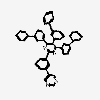 c1ccc(-c2cccc(-c3nc(-c4cccc(-c5cncnc5)c4)nc(-c4cccc(-c5ccccc5)c4)c3-c3cccc(-c4ccccc4)c3)c2)cc1